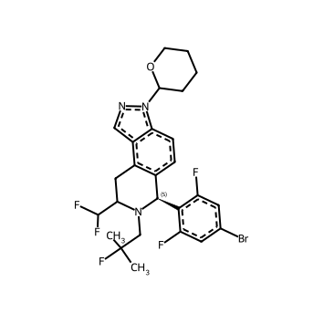 CC(C)(F)CN1C(C(F)F)Cc2c(ccc3c2cnn3C2CCCCO2)[C@H]1c1c(F)cc(Br)cc1F